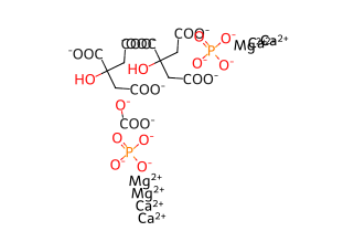 O=C([O-])CC(O)(CC(=O)[O-])C(=O)[O-].O=C([O-])CC(O)(CC(=O)[O-])C(=O)[O-].O=C([O-])[O-].O=P([O-])([O-])[O-].O=P([O-])([O-])[O-].[Ca+2].[Ca+2].[Ca+2].[Ca+2].[Mg+2].[Mg+2].[Mg+2]